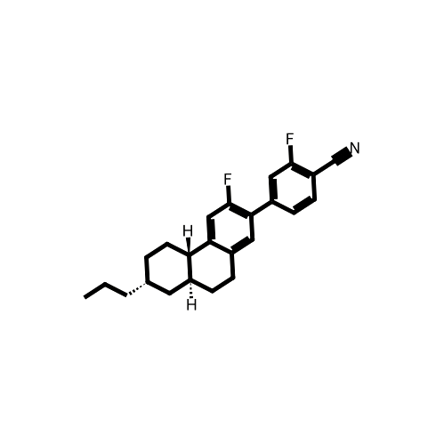 CCC[C@@H]1CC[C@@H]2c3cc(F)c(-c4ccc(C#N)c(F)c4)cc3CC[C@H]2C1